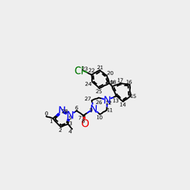 Cc1cc(C)n(CC(=O)N2CCN(c3ccccc3-c3ccc(Cl)cc3)CC2)n1